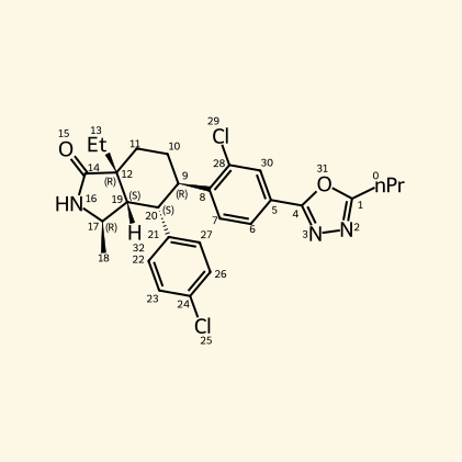 CCCc1nnc(-c2ccc([C@@H]3CC[C@@]4(CC)C(=O)N[C@H](C)[C@H]4[C@H]3c3ccc(Cl)cc3)c(Cl)c2)o1